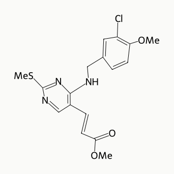 COC(=O)C=Cc1cnc(SC)nc1NCc1ccc(OC)c(Cl)c1